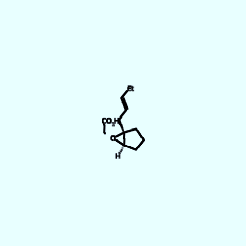 CC(=O)O.CCC=CC[C@@]12CCC[C@H]1O2